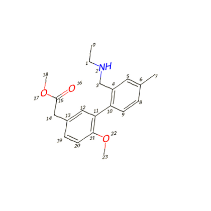 CCNCc1cc(C)ccc1-c1cc(CC(=O)OC)ccc1OC